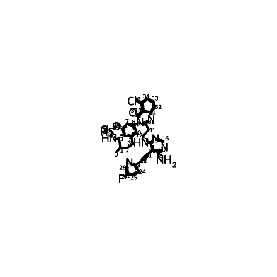 CC(CCc1cccc(-n2c(CCNc3ncnc(N)c3C#Cc3ccc(F)cn3)nc3cccc(Cl)c3c2=O)c1)CN[SH](=O)=O